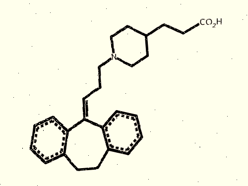 O=C(O)CCC1CCN(CCC=C2c3ccccc3CCc3ccccc32)CC1